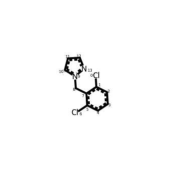 Clc1cccc(Cl)c1Cn1[c]ccn1